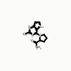 NC(=O)C1CCCN1c1nc(Cl)nc2ccsc12